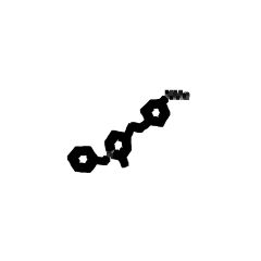 CNc1ccc(/C=C/c2cc[n+](Cc3ccccc3)c(C)c2)cc1